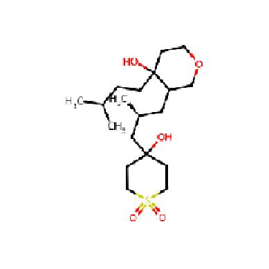 CC(C)CCC1(O)CCOCC1C[C@H](C)CC1(O)CCS(=O)(=O)CC1